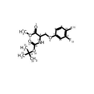 COC(=O)C(COc1ccc(F)c(F)c1)NC(=O)OC(C)(C)C